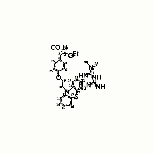 CCOC(Cc1ccc(OCCN2c3ccccc3Sc3ccccc32)cc1)C(=O)O.CN(C)C(=N)NC(=N)N